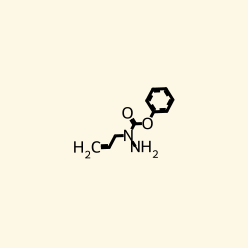 C=CCN(N)C(=O)Oc1ccccc1